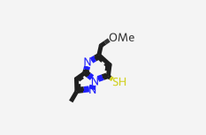 COCc1cc(S)n2nc(C)cc2n1